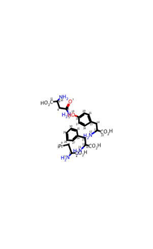 CC(C)CC(N)C(=O)O.NC(=O)CC(N)C(=O)O.NC(Cc1ccc(O)cc1)C(=O)O.NC(Cc1ccccc1)C(=O)O